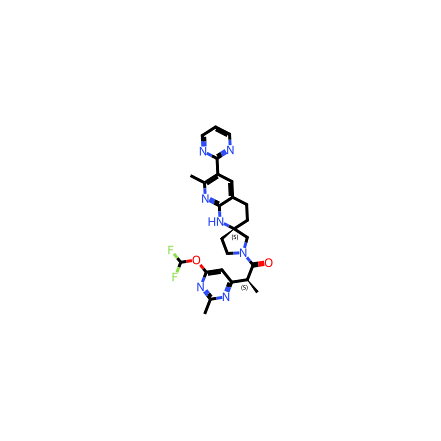 Cc1nc(OC(F)F)cc([C@H](C)C(=O)N2CC[C@@]3(CCc4cc(-c5ncccn5)c(C)nc4N3)C2)n1